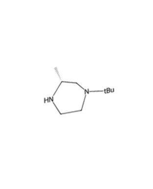 C[C@@H]1CN(C(C)(C)C)CCN1